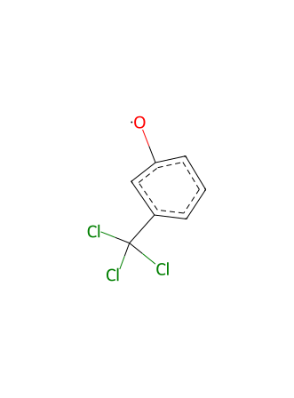 [O]c1cccc(C(Cl)(Cl)Cl)c1